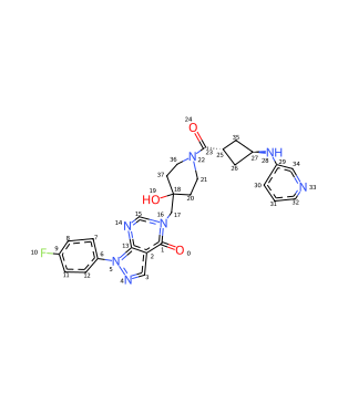 O=c1c2cnn(-c3ccc(F)cc3)c2ncn1CC1(O)CCN(C(=O)[C@H]2C[C@H](Nc3cccnc3)C2)CC1